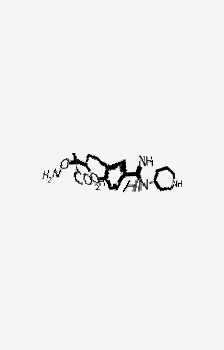 C[C@@](ON)(C(=O)O)[C@H]1CCc2cc(C(=N)N[C@@H]3CCCNCC3)ccc2O1